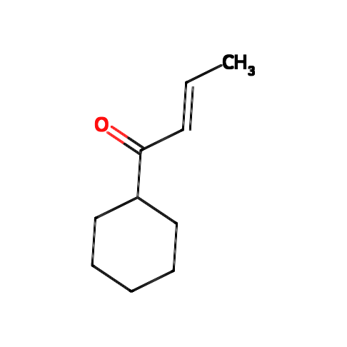 CC=CC(=O)C1CCCCC1